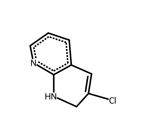 ClC1=Cc2cccnc2NC1